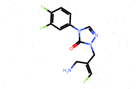 NC/C(=C\F)Cn1ncn(-c2ccc(F)c(F)c2)c1=O